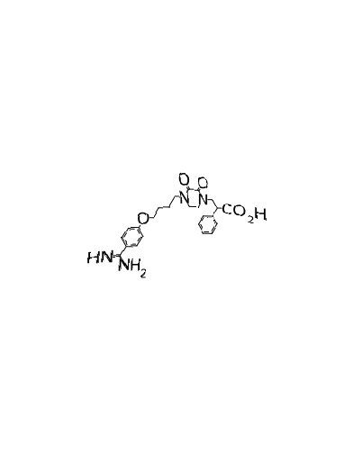 N=C(N)c1ccc(OCCCCN2CCN(CC(C(=O)O)c3ccccc3)C(=O)C2=O)cc1